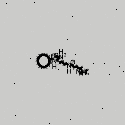 CC(C)n1cc(CCC(=O)NCCCC[C@H](NC(=O)C2CCCCCCCCCCCC2)C(N)=O)nn1